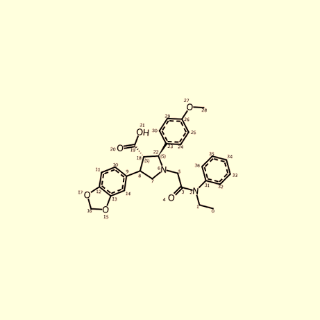 CCN(C(=O)CN1CC(c2ccc3c(c2)OCO3)[C@H](C(=O)O)[C@H]1c1ccc(OC)cc1)c1ccccc1